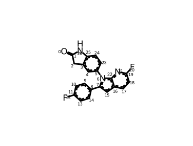 O=C1Cc2cc(-n3c(-c4ccc(F)cc4)cc4ccc(F)nc43)ccc2N1